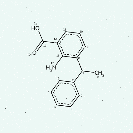 CC(c1ccccc1)c1cccc(C(=O)O)c1N